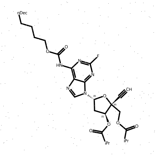 C#C[C@]1(COC(=O)C(C)C)O[C@@H](n2cnc3c(NC(=O)OCCCCCCCCCCCCCC)nc(F)nc32)C[C@@H]1OC(=O)C(C)C